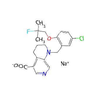 CC(C)(F)COc1ccc(Cl)cc1CN1CCCc2c(C(=O)[O-])cncc21.[Na+]